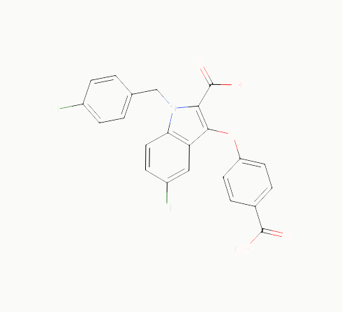 O=C(O)c1ccc(Oc2c(C(=O)O)n(Cc3ccc(Cl)cc3)c3ccc(Cl)cc23)cc1